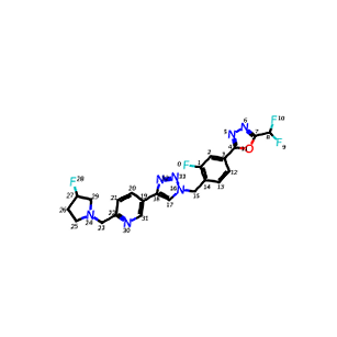 Fc1cc(-c2nnc(C(F)F)o2)ccc1Cn1cc(-c2ccc(CN3CCC(F)C3)nc2)nn1